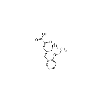 CCOc1ccccc1/C=C(/C=C(\C)C(=O)O)CC